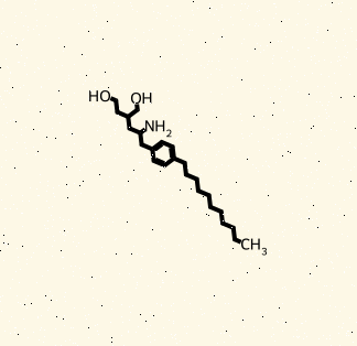 CCCCCCCCCCCc1ccc(CC(N)CC(CO)CCO)cc1